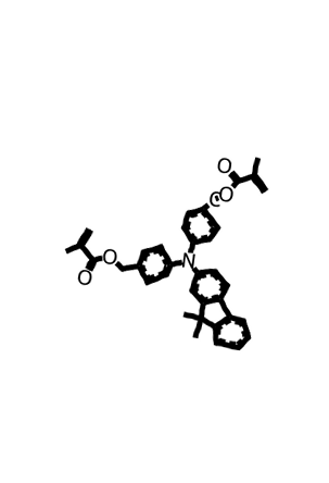 C=C(C)C(=O)OCc1ccc(N(c2ccc(COC(=O)C(=C)C)cc2)c2ccc3c(c2)C(C)(C)c2ccccc2-3)cc1